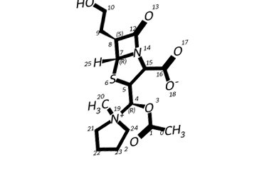 CC(=O)O[C@H](C1S[C@@H]2[C@@H](CCO)C(=O)N2C1C(=O)[O-])[N+]1(C)CCCC1